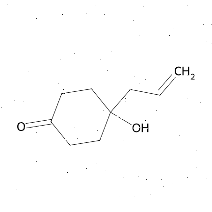 C=CCC1(O)CCC(=O)CC1